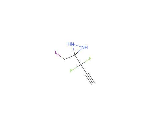 C#CC(F)(F)C1(CI)NN1